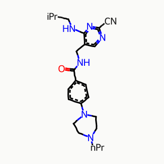 CCCN1CCN(c2ccc(C(=O)NCc3cnc(C#N)nc3NCC(C)C)cc2)CC1